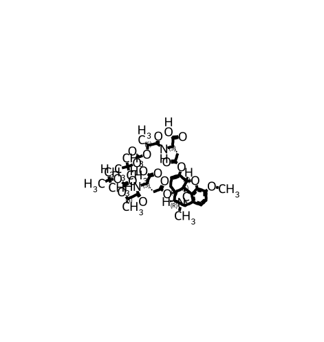 COc1ccc2c3c1O[C@H]1C(OC(=O)C[C@H](NC(=O)[C@H](C)OC(=O)OC(C)(C)C)C(=O)O)=CC[C@@]4(OC(=O)C[C@H](NC(=O)[C@H](C)OC(=O)OC(C)(C)C)C(=O)O)[C@@H](C2)N(C)CC[C@]314